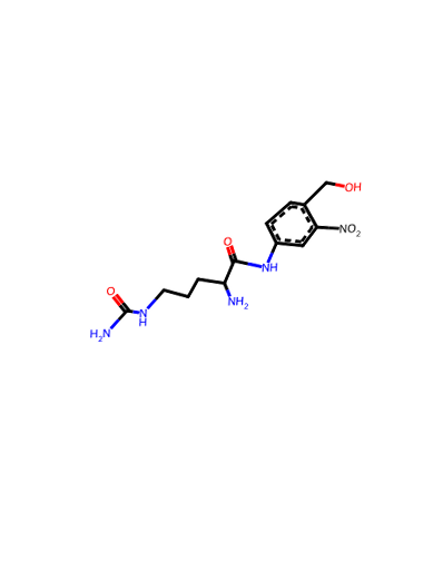 NC(=O)NCCCC(N)C(=O)Nc1ccc(CO)c([N+](=O)[O-])c1